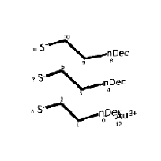 CCCCCCCCCCCC[S-].CCCCCCCCCCCC[S-].CCCCCCCCCCCC[S-].[Au+3]